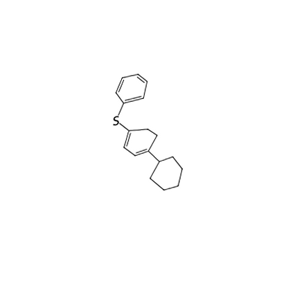 C1=C(Sc2ccccc2)CCC(C2CCCCC2)=C1